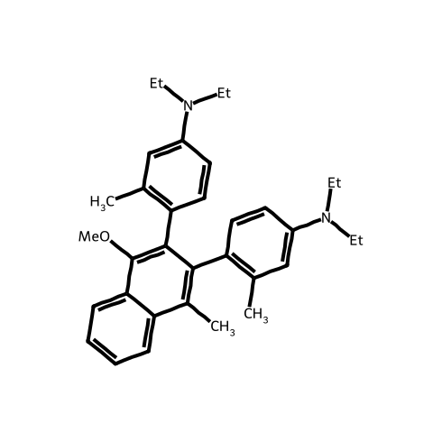 CCN(CC)c1ccc(-c2c(-c3ccc(N(CC)CC)cc3C)c(OC)c3ccccc3c2C)c(C)c1